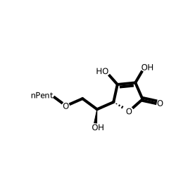 CCCCCOC[C@H](O)[C@H]1OC(=O)C(O)=C1O